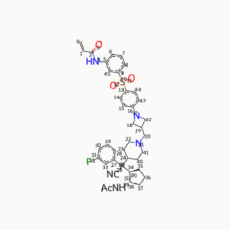 C=CC(=O)Nc1cccc(S(=O)(=O)c2ccc(N3CC(CN4CCC([C@@](C#N)(c5cccc(F)c5)[C@H]5CCC[C@@H]5NC(C)=O)CC4)C3)cc2)c1